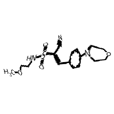 COCCNS(=O)(=O)/C(C#N)=C/c1ccc(N2CCOCC2)cc1